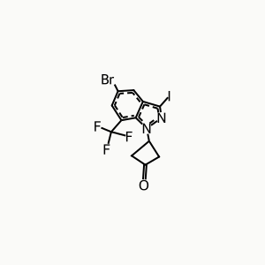 O=C1CC(n2nc(I)c3cc(Br)cc(C(F)(F)F)c32)C1